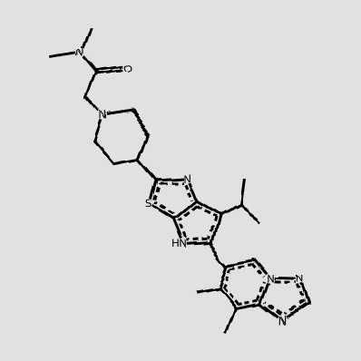 Cc1c(-c2[nH]c3sc(C4CCN(CC(=O)N(C)C)CC4)nc3c2C(C)C)cn2ncnc2c1C